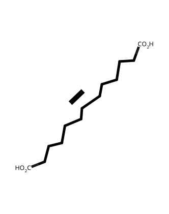 C=C.O=C(O)CCCCCCCCCCCC(=O)O